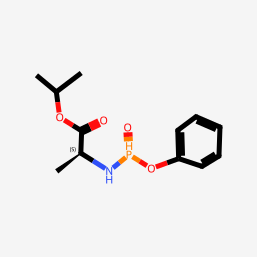 CC(C)OC(=O)[C@H](C)N[PH](=O)Oc1ccccc1